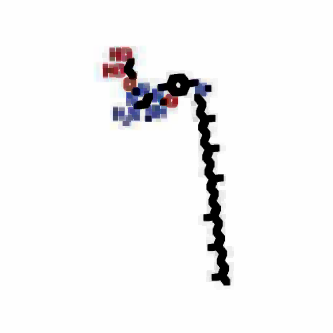 CNc1c(N)nc(OCC(O)CO)nc1N(C=O)Cc1ccc(CN(C)CCC/C(C)=C/CC/C(C)=C/CC/C(C)=C/CC/C=C(\C)CC/C=C(\C)CCC=C(C)C)cc1